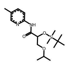 Cc1ccc(NC(=O)C(COC(C)C)O[Si](C)(C)C(C)(C)C)nc1